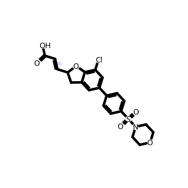 O=C(O)/C=C/C1Cc2cc(-c3ccc(S(=O)(=O)N4CCOCC4)cc3)cc(Cl)c2O1